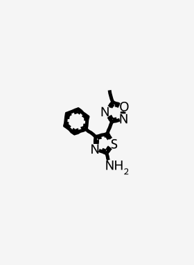 Cc1nc(-c2sc(N)nc2-c2ccccc2)no1